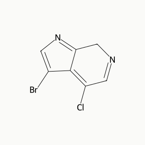 ClC1=C2C(Br)=CN=C2CN=C1